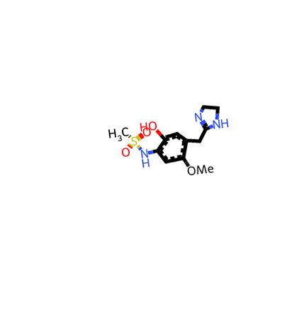 COc1cc(NS(C)(=O)=O)c(O)cc1CC1=NCCN1